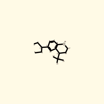 CCC(CC)c1ccc2c(c1)C(C(C)(C)C)CCO2